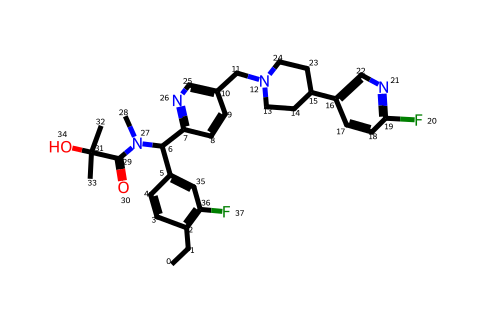 CCc1ccc(C(c2ccc(CN3CCC(c4ccc(F)nc4)CC3)cn2)N(C)C(=O)C(C)(C)O)cc1F